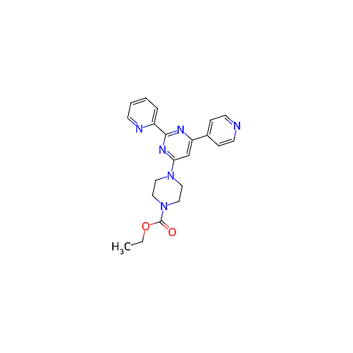 CCOC(=O)N1CCN(c2cc(-c3ccncc3)nc(-c3ccccn3)n2)CC1